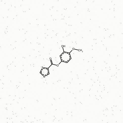 COc1ccc(OC(=O)c2cncs2)cc1O